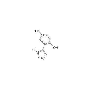 Nc1ccc(O)c(-c2cscc2Cl)c1